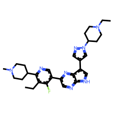 CCc1c(C2CCN(C)CC2)ncc(-c2cnc3[nH]cc(-c4cnn(C5CCN(CC)CC5)c4)c3n2)c1F